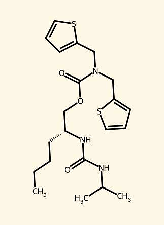 CCCC[C@H](COC(=O)N(Cc1cccs1)Cc1cccs1)NC(=O)NC(C)C